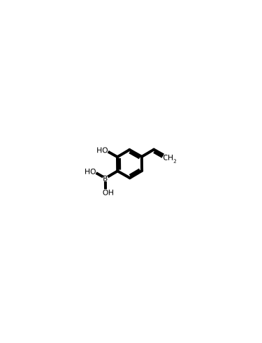 C=Cc1ccc(B(O)O)c(O)c1